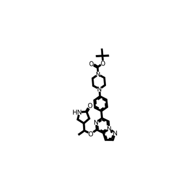 CC(Oc1nc(-c2ccc(N3CCN(C(=O)OC(C)(C)C)CC3)cc2)cn2nccc12)C1CNC(=O)C1